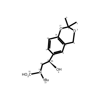 CC1(C)OCc2cc([C@@H](O)CN(C(=O)O)C(C)(C)C)ccc2O1